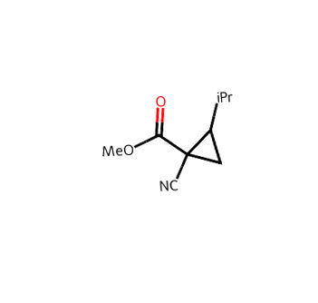 COC(=O)C1(C#N)CC1C(C)C